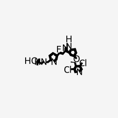 C[C@@H](Oc1ccc2[nH]nc(/C=C(\F)c3ccc(CNCC(C)(C)O)nc3)c2c1)c1c(Cl)cncc1Cl